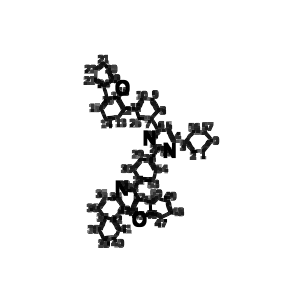 c1ccc(-c2cc(-c3cccc(-c4cccc5c4oc4ccccc45)c3)nc(-c3ccc(-c4nc5ccc6ccccc6c5c5oc6ccccc6c45)cc3)n2)cc1